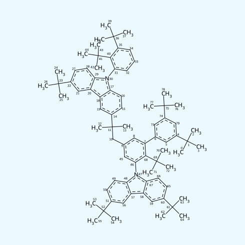 CC(C)(C)c1cc(-c2cc(CC(C)(C)c3ccc4c(c3)c3cc(C(C)(C)C)ccc3n4-c3cccc(C(C)(C)C)c3C(C)(C)C)cc(-n3c4ccc(C(C)(C)C)cc4c4cc(C(C)(C)C)ccc43)c2C(C)(C)C)cc(C(C)(C)C)c1